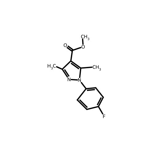 COC(=O)c1c(C)nn(-c2ccc(F)cc2)c1C